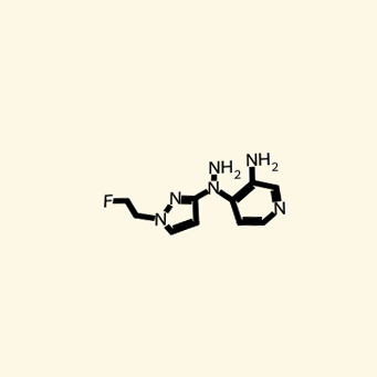 Nc1cnccc1N(N)c1ccn(CCF)n1